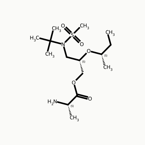 CC[C@H](C)O[C@H](COC(=O)[C@H](C)N)CN(C(C)(C)C)S(C)(=O)=O